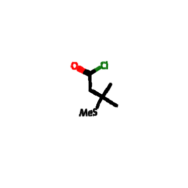 CSC(C)(C)CC(=O)Cl